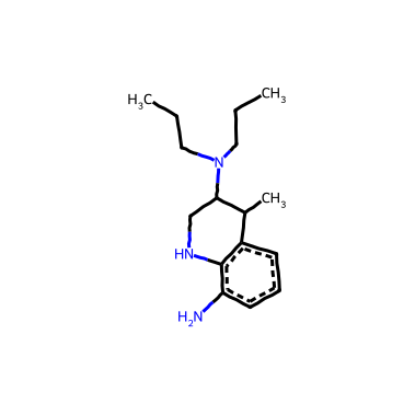 CCCN(CCC)C1CNc2c(N)cccc2C1C